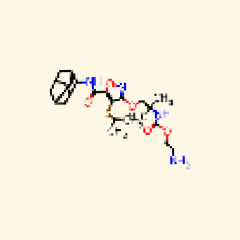 CC(C)Sc1c(OCC(C)(C)NC(=O)OCCN)noc1C(=O)NC1C2CC3CC(C2)CC1C3